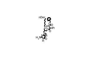 CCCCCCCCCCCCCCCCOCC(COC(=O)[C@@H](NC(=O)OCc1ccccc1)C(C)C)Cn1cnc2c(=O)[nH]c(N)nc21